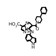 O=C(O)c1cnn2c(Nc3cccc4[nH]ccc34)c(C(=O)N3CCC(c4ccccc4)CC3)cnc12